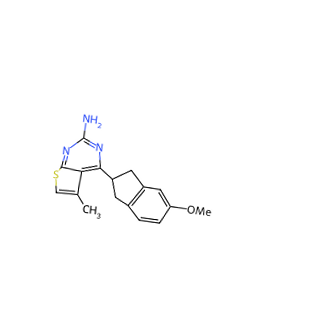 COc1ccc2c(c1)CC(c1nc(N)nc3scc(C)c13)C2